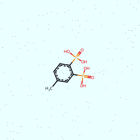 Cc1ccc(P(=O)(O)O)c(P(=O)(O)O)c1